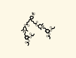 CCC(=O)Oc1ccc(CC[N+]2(C)C(C)CC(OC(=O)CCCC3(CCCC(=O)OC4CC(C)[N+](C)(CCc5ccc(OC(=O)CC)c(OC(=O)CC)c5)C(C)C4)CCCC3)CC2C)cc1OC(=O)CC.[Br-].[Br-]